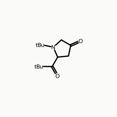 CC(C)(C)C(=O)C1CC(=O)CN1C(C)(C)C